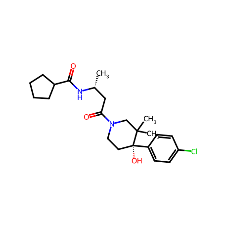 C[C@H](CC(=O)N1CC[C@](O)(c2ccc(Cl)cc2)C(C)(C)C1)NC(=O)C1CCCC1